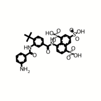 CC(C)(C)c1ccc(C(=O)Nc2ccc(S(=O)(=O)O)c3cc(S(=O)(=O)O)cc(S(=O)(=O)O)c23)cc1NC(=O)c1cccc(N)c1